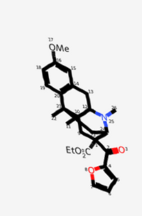 CCOC(=O)C1(C(=O)c2ccco2)CC2(C)C3Cc4cc(OC)ccc4C2(C)CC1N3C